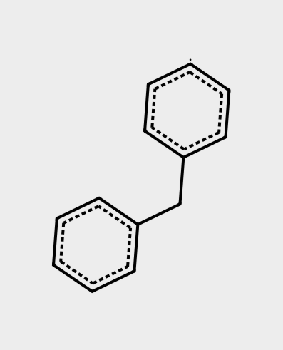 [c]1ccc(Cc2ccccc2)cc1